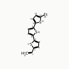 C=Cc1ccc(-c2ccc(-c3ccc(CC)s3)s2)s1